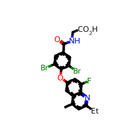 CCc1cc(C)c2cc(Oc3c(Br)cc(C(=O)NCC(=O)O)cc3Br)cc(F)c2n1